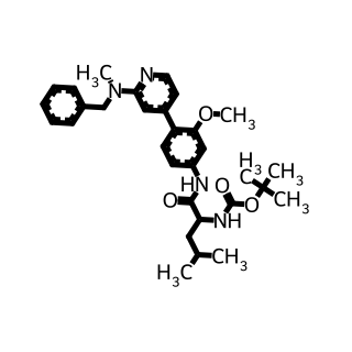 COc1cc(NC(=O)C(CC(C)C)NC(=O)OC(C)(C)C)ccc1-c1ccnc(N(C)Cc2ccccc2)c1